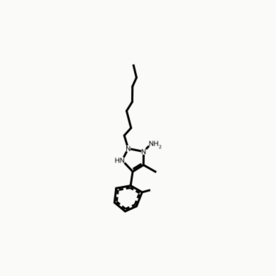 CCCCCCCN1NC(c2ccccc2C)=C(C)N1N